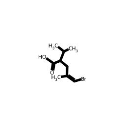 CC(=CBr)CC(C(=O)O)C(C)C